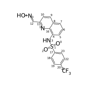 O=S(=O)(Nc1cccc2ccc(/C=N/O)nc12)c1ccc(C(F)(F)F)cc1